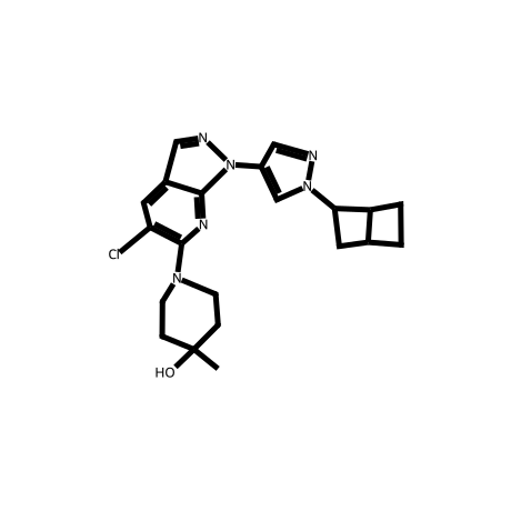 CC1(O)CCN(c2nc3c(cnn3-c3cnn(C4CC5CCC54)c3)cc2Cl)CC1